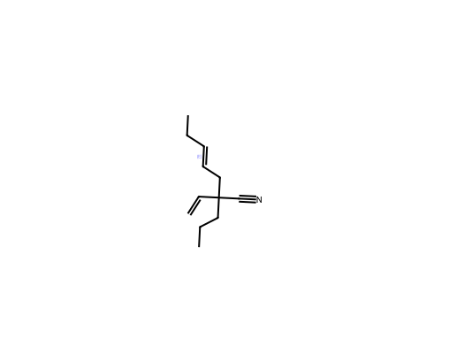 C=CC(C#N)(C/C=C/CC)CCC